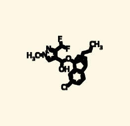 CCCC1C2CCC1(OC(O)c1cn(C)nc1C(F)F)c1cc(Cl)ccc12